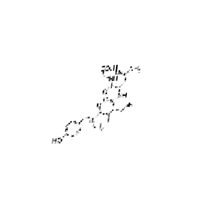 CC(C)CC(NC(=O)[C@H](N)Cc1ccc(O)cc1)C(=O)NC(CC(N)=O)C(=O)NCC(=O)O